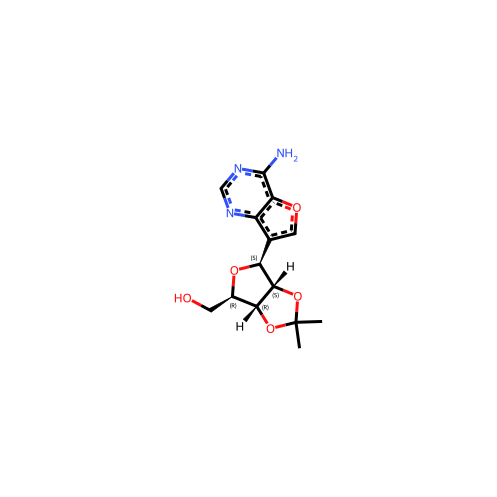 CC1(C)O[C@@H]2[C@H](O1)[C@@H](CO)O[C@H]2c1coc2c(N)ncnc12